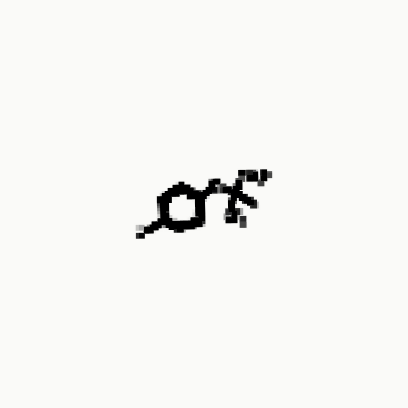 CC(Oc1ccc(Cl)cc1)(C(=O)O)C(F)(F)F